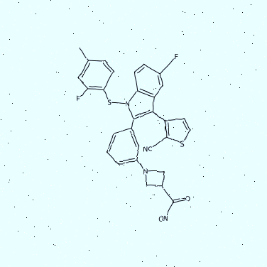 Cc1ccc(Sn2c(-c3cccc(N4CC(C(=O)N=O)C4)c3)c(-c3ccsc3C#N)c3cc(F)ccc32)c(F)c1